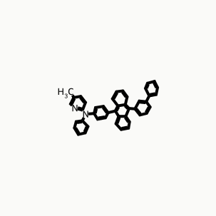 Cc1ccc(N(c2ccccc2)c2ccc(-c3c4ccccc4c(-c4cccc(-c5ccccc5)c4)c4ccccc34)cc2)nc1